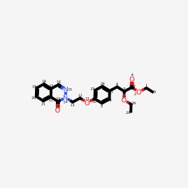 CCOC(=O)C(Cc1ccc(OCCn2ncc3ccccc3c2=O)cc1)OCC